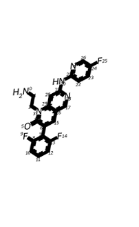 NCCn1c(=O)c(-c2c(F)cccc2F)cc2cnc(Nc3ccc(F)cn3)cc21